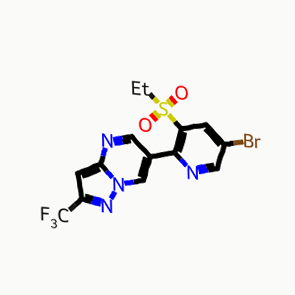 CCS(=O)(=O)c1cc(Br)cnc1-c1cnc2cc(C(F)(F)F)nn2c1